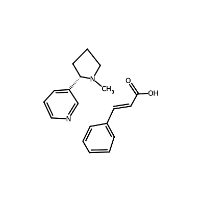 CN1CCC[C@H]1c1cccnc1.O=C(O)/C=C/c1ccccc1